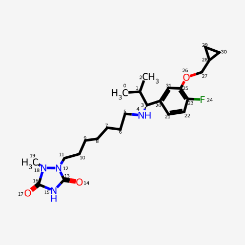 CC(C)[C@@H](NCCCCCCCn1c(=O)[nH]c(=O)n1C)c1ccc(F)c(OCC2CC2)c1